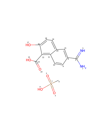 CS(=O)(=O)O.N=C(N)c1ccc2c(C(=O)O)c(O)ccc2c1